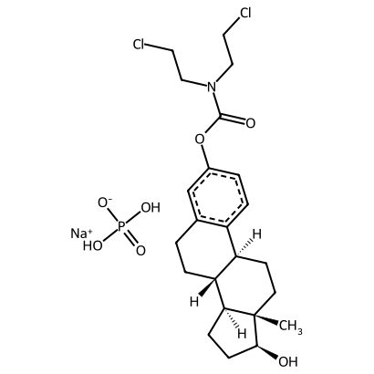 C[C@]12CC[C@@H]3c4ccc(OC(=O)N(CCCl)CCCl)cc4CC[C@H]3[C@@H]1CC[C@@H]2O.O=P([O-])(O)O.[Na+]